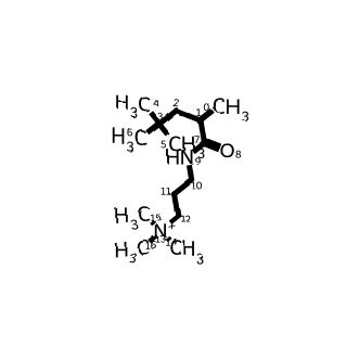 CC(CC(C)(C)C)C(=O)NCCC[N+](C)(C)C